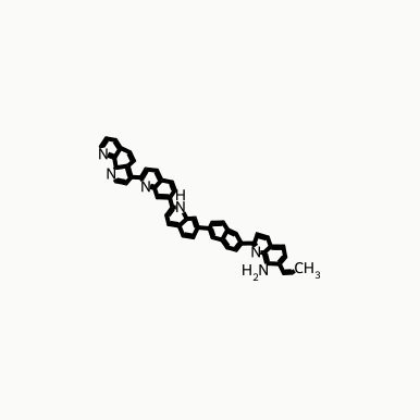 C/C=C\c1ccc2ccc(-c3ccc4cc(C5=CC6NC(c7ccc8ccc(-c9ccnc%10c9ccc9cccnc9%10)nc8c7)=CC=C6C=C5)ccc4c3)nc2c1N